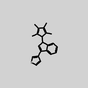 CC1=C(C)C(C)=C(C)[C]1C1C=C(c2ccsc2)c2ccccc21